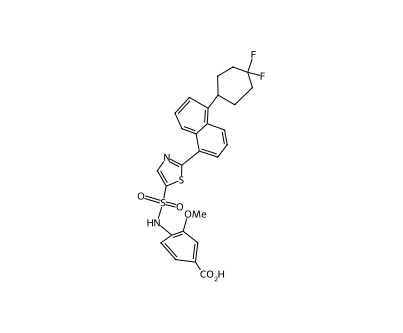 COc1cc(C(=O)O)ccc1NS(=O)(=O)c1cnc(-c2cccc3c(C4CCC(F)(F)CC4)cccc23)s1